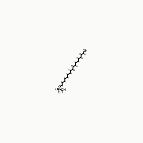 O=P(O)(O)OCCCCCCCCCCCCCCCCCO